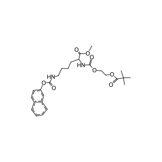 COC(=O)C(CCCCNC(=O)Oc1ccc2ccccc2c1)NC(=O)OCCOC(=O)C(C)(C)C